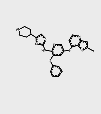 Ic1cc2nccc(Sc3cnc(Nc4nc(C5CCNCC5)cs4)c(Oc4ccccc4)c3)c2s1